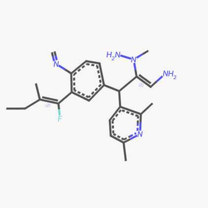 C=Nc1ccc(C(/C(=C/N)N(C)N)c2ccc(C)nc2C)cc1/C(F)=C(\C)CC